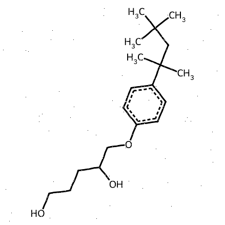 CC(C)(C)CC(C)(C)c1ccc(OCC(O)CCCO)cc1